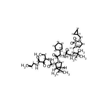 C=CCNC(=O)C(=O)C(CC)NC(=O)[C@@H]1[C@@H]2[C@H](CN1C(=O)[C@@H](NC(=O)N[C@H](CN1CCN(CC3CC3)S1(=O)=O)C(C)(C)C)C1CCCCC1)C2(C)C